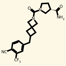 N#Cc1ccc(CC2CC3(C2)CN(C(=O)N2CC[C@H](C(N)=O)C2)C3)cc1C(F)(F)F